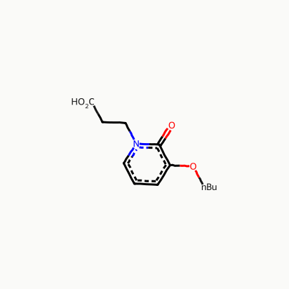 CCCCOc1cccn(CCC(=O)O)c1=O